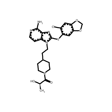 C[C@@H](O)C(=O)N1CCC(CCn2c(Sc3cc4c(cc3Cl)OCO4)nc3c(N)nccc32)CC1